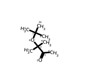 CC(=O)C(C)(C)OC(C)(C)C